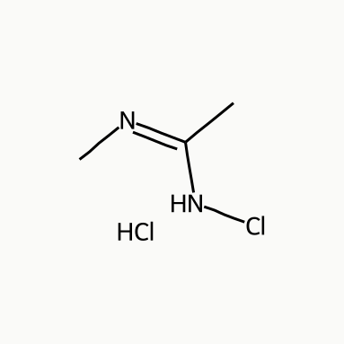 CN=C(C)NCl.Cl